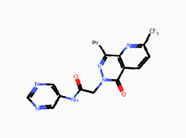 CC(C)c1nn(CC(=O)Nc2cncnc2)c(=O)c2ccc(C(F)(F)F)nc12